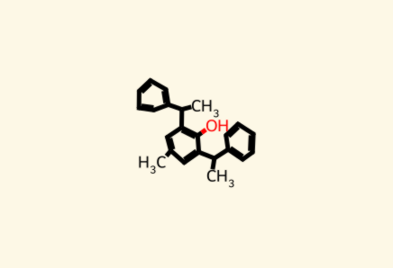 Cc1cc(C(C)c2ccccc2)c(O)c(C(C)c2ccccc2)c1